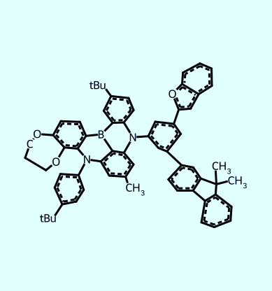 Cc1cc2c3c(c1)N(c1ccc(C(C)(C)C)cc1)c1c(ccc4c1OCCCO4)B3c1cc(C(C)(C)C)ccc1N2c1cc(-c2ccc3c(c2)C(C)(C)c2ccccc2-3)cc(-c2cc3ccccc3o2)c1